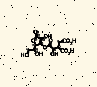 O=C(O)CC(C(=O)O)C(O)C(=O)OC1=C(O)C(=O)O[C@@H]1[C@@H](O)CO